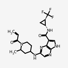 C=CC(=O)N1CCC(Nc2cnc3[nH]cc(C(=O)N[C@@H]4C[C@H]4C(F)(F)F)c3n2)CC1C